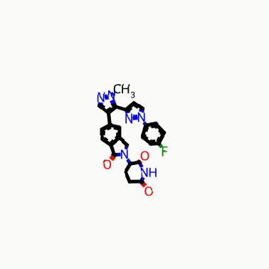 Cn1ncc(-c2ccc3c(c2)CN(C2CCC(=O)NC2=O)C3=O)c1-c1ccn(-c2ccc(F)cc2)n1